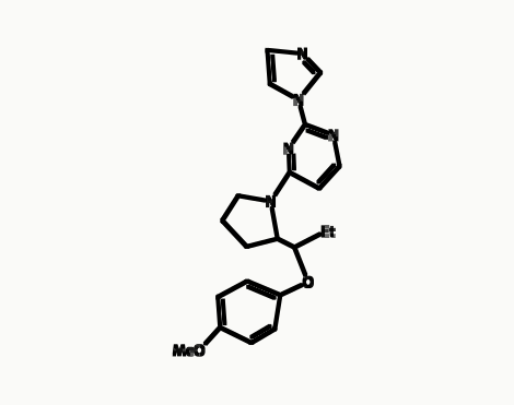 CCC(Oc1ccc(OC)cc1)C1CCCN1c1ccnc(-n2ccnc2)n1